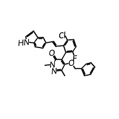 Cc1nn(C)c(=O)c(-c2c(F)ccc(Cl)c2/C=C/c2ccc3[nH]ccc3c2)c1OCc1ccccc1